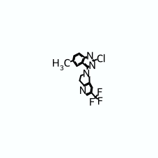 Cc1ccc2nc(Cl)nc(N3CCc4ncc(C(F)(F)F)cc4C3)c2c1